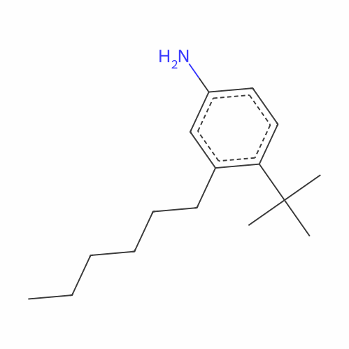 CCCCCCc1cc(N)ccc1C(C)(C)C